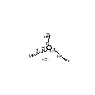 CC(C)CNCCCOc1cc(CNCCCNCCCN)cc(CNCCCNCCCN)c1.Cl